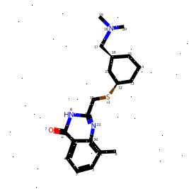 Cc1cccc2c(=O)[nH]c(CS[C@@H]3CCC[C@H](CN(C)C)C3)nc12